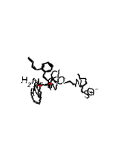 C=C/C=C\c1ccccc1CC1=C(F)C2=NC(OCCCN3C(C)CCC3C[S+](C)[O-])[C@@]1(Cl)CC2C(N)N1CC2CCC(C1)N2